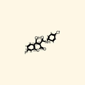 O=C(Nc1ccc(Cl)cc1)c1c(O)c2ccc(F)cc2oc1=O